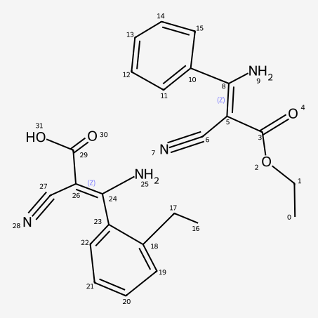 CCOC(=O)/C(C#N)=C(\N)c1ccccc1.CCc1ccccc1/C(N)=C(\C#N)C(=O)O